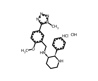 COc1ccc(-c2nnnn2C)cc1CN[C@@H]1CCCN[C@@H]1c1ccccc1.Cl.Cl